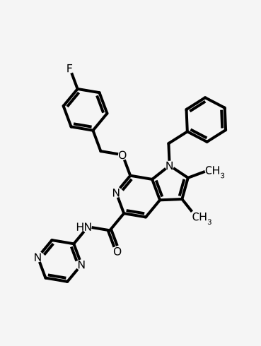 Cc1c(C)n(Cc2ccccc2)c2c(OCc3ccc(F)cc3)nc(C(=O)Nc3cnccn3)cc12